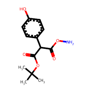 CC(C)(C)OC(=O)C(C(=O)ON)c1ccc(O)cc1